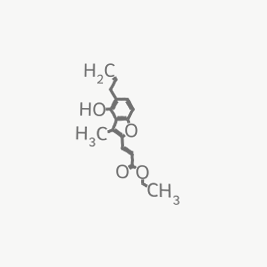 C=CCc1ccc2oc(C=CC(=O)OCC)c(C)c2c1O